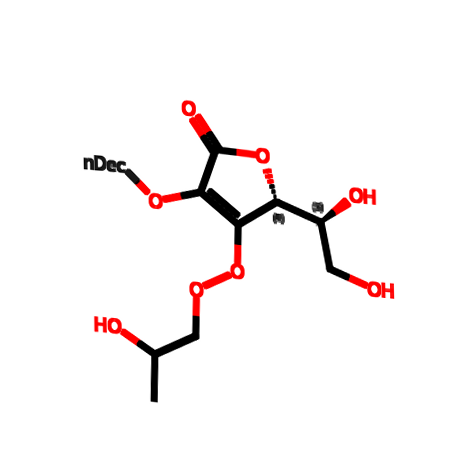 CCCCCCCCCCOC1=C(OOCC(C)O)[C@@H]([C@@H](O)CO)OC1=O